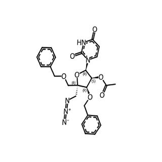 CC(=O)O[C@@H]1[C@H](n2ccc(=O)[nH]c2=O)O[C@](CN=[N+]=[N-])(COCc2ccccc2)[C@@H]1OCc1ccccc1